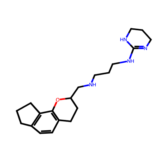 c1cc2c(c3c1CCC3)OC(CNCCCNC1=NCCCN1)CC2